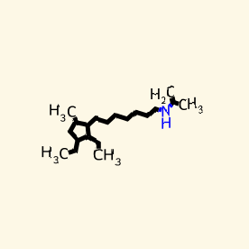 C=C(C)NCCCCCCCC1C(C)CC(CC)C1CC